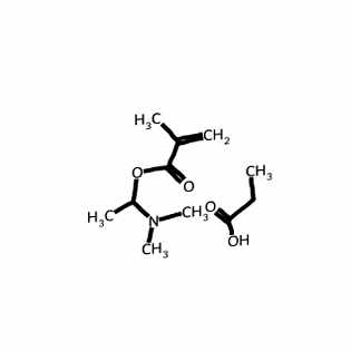 C=C(C)C(=O)OC(C)N(C)C.CCC(=O)O